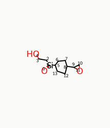 O=[Si](CCO)C1CCC(C2CO2)CC1